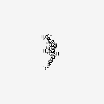 CN1CC2(CCN(c3ccc(Nc4cc(-c5ccnc(N6CCn7c8c(c(F)c7C6=O)CC(C)(C)C8)c5CO)cn(C)c4=O)nc3)CC2)C1